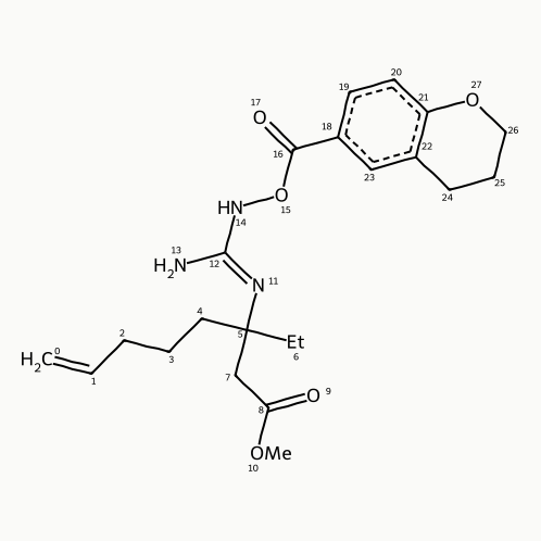 C=CCCCC(CC)(CC(=O)OC)N=C(N)NOC(=O)c1ccc2c(c1)CCCO2